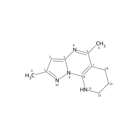 Cc1cc2nc(C)c3c(n2n1)NCCC3